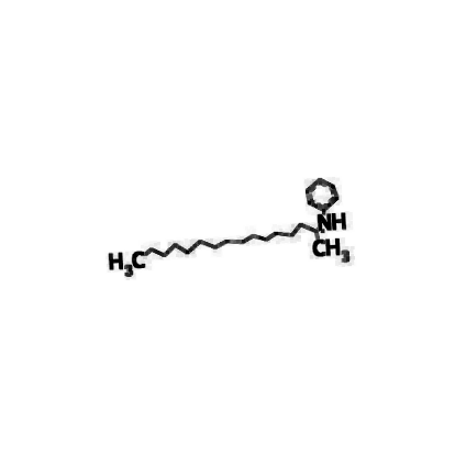 CCCCCCCCCCCCCC[C](C)Nc1ccccc1